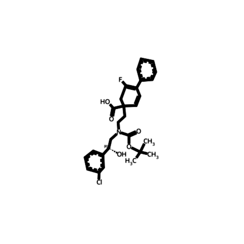 CC(C)(C)OC(=O)N(CCC1(C(=O)O)C=CC(c2ccccc2)=C(F)C1)C[C@H](O)c1cccc(Cl)c1